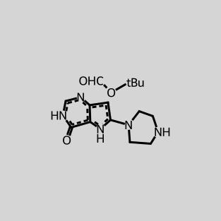 CC(C)(C)OC=O.O=c1[nH]cnc2cc(N3CCNCC3)[nH]c12